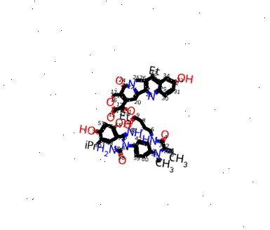 C/C=C(/C(=O)NCCCC(=O)OC1(CC)C(=O)OCc2c1cc1n(c2=O)Cc2c-1nc1ccc(O)cc1c2CC)N(C)c1ccc(N(C(=N)c2cc(C(C)C)c(O)cc2O)C(N)=O)cc1